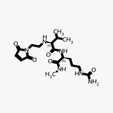 CNC(=O)[C@H](CCCNC(N)=O)NC(=O)[C@@H](NCCN1C(=O)C=CC1=O)C(C)C